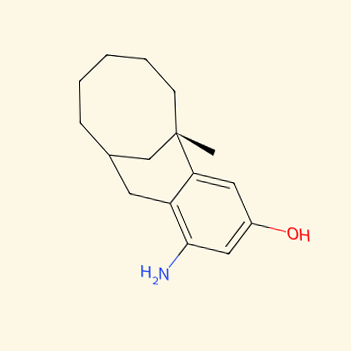 C[C@@]12CCCCCC(Cc3c(N)cc(O)cc31)C2